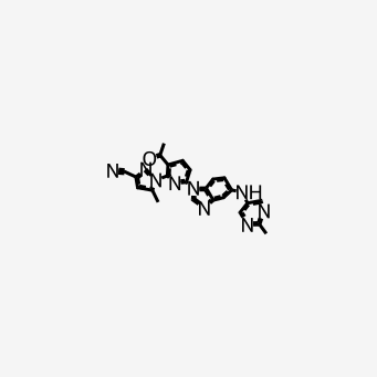 CC(=O)c1ccc(-n2cnc3cc(Nc4cnc(C)nc4)ccc32)nc1-n1nc(C#N)cc1C